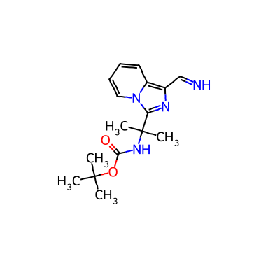 CC(C)(C)OC(=O)NC(C)(C)c1nc(C=N)c2ccccn12